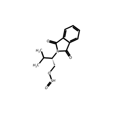 CC(C)[C@@H](CO[SH]=O)N1C(=O)c2ccccc2C1=O